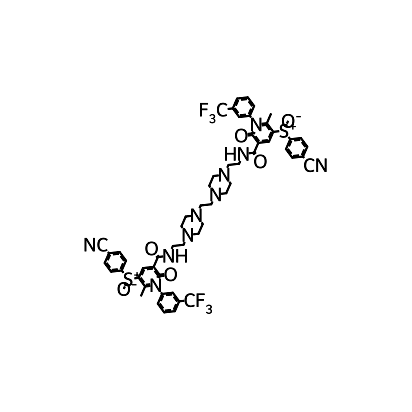 Cc1c([S+]([O-])c2ccc(C#N)cc2)cc(C(=O)NCCN2CCN(CCN3CCN(CCNC(=O)c4cc([S+]([O-])c5ccc(C#N)cc5)c(C)n(-c5cccc(C(F)(F)F)c5)c4=O)CC3)CC2)c(=O)n1-c1cccc(C(F)(F)F)c1